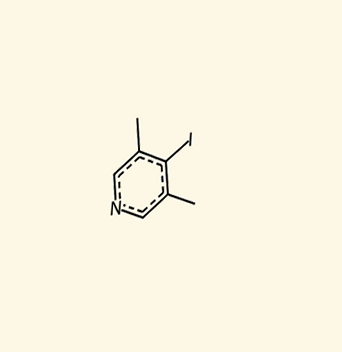 Cc1cncc(C)c1I